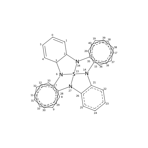 C1=CC2C(C=C1)N(c1ccccc1)S1(N(c3ccccc3)c3ccccc3N1c1ccccc1)N2c1ccccc1